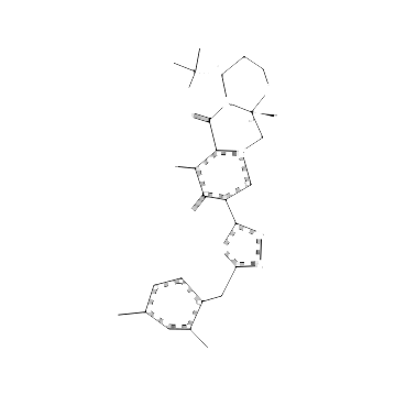 O=C1c2c(O)c(=O)c(-c3nnc(Cc4ccc(F)cc4F)s3)cn2C[C@H]2OCC[C@@H](C(F)(F)F)N12